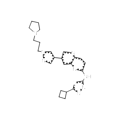 c1nc2ccc(Nc3nnc(C4CCC4)s3)nc2cc1-c1cnn(CCCN2CCCC2)c1